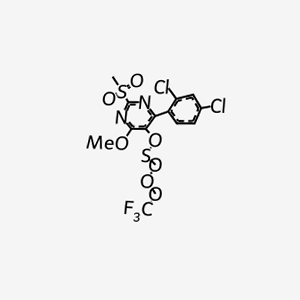 COc1nc(S(C)(=O)=O)nc(-c2ccc(Cl)cc2Cl)c1OSOOOC(F)(F)F